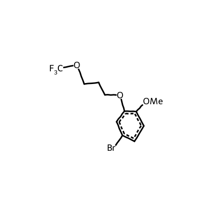 COc1ccc(Br)cc1OCCCOC(F)(F)F